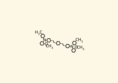 COc1ccccc1N(c1ccc(C)cc1)c1ccc(C=Cc2ccc(C=Cc3ccc(N(c4ccc(C)cc4)c4ccccc4OC)cc3)cc2)cc1